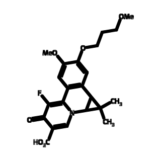 COCCCOc1cc2c(cc1OC)-c1c(F)c(=O)c(C(=O)O)cn1C1C2C1(C)C